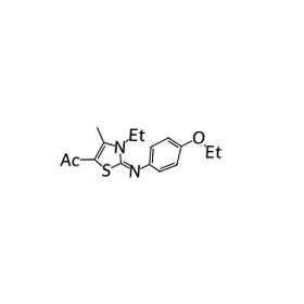 CCOc1ccc(N=c2sc(C(C)=O)c(C)n2CC)cc1